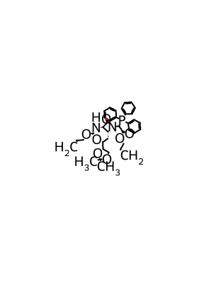 C=CCOC(=O)N[C@@H]1C(=O)N(C(C(=O)OCC=C)=P(c2ccccc2)(c2ccccc2)c2ccccc2)[C@@H]1CCC1COC(C)(C)O1